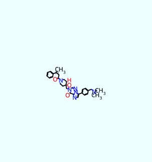 C[C@H](CC(=O)N1CCC(O)(Cn2cnn3c(-c4ccc(CN(C)C)cc4)cnc3c2=O)CC1)c1ccccc1